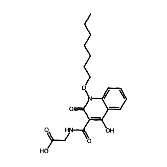 CCCCCCCOn1c(=O)c(C(=O)NCC(=O)O)c(O)c2ccccc21